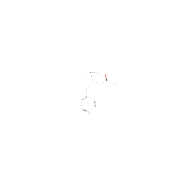 CC(C)(C)C(Cc1ccc(CO)cc1)OC(N)=O